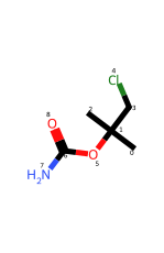 CC(C)(CCl)OC(N)=O